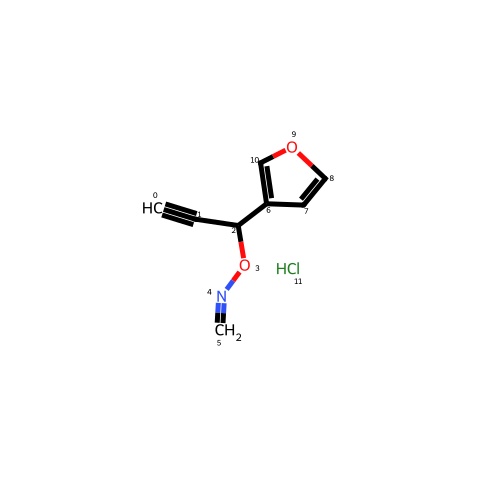 C#CC(ON=C)c1ccoc1.Cl